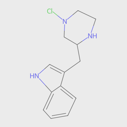 ClN1CCNC(Cc2c[nH]c3ccccc23)C1